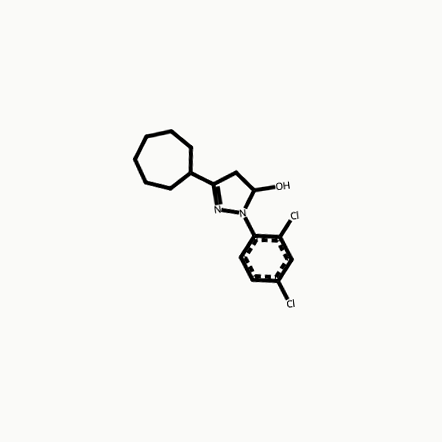 OC1CC(C2CCCCCC2)=NN1c1ccc(Cl)cc1Cl